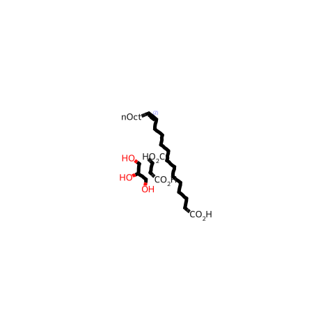 CCCCCCCC/C=C\CCCCCCCCCCCC(=O)O.O=C(O)CCC(=O)O.OCC(O)CO